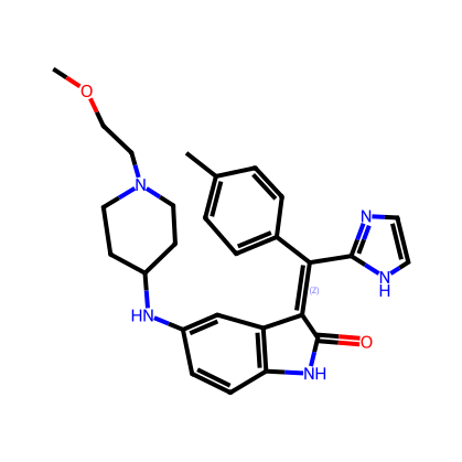 COCCN1CCC(Nc2ccc3c(c2)/C(=C(\c2ccc(C)cc2)c2ncc[nH]2)C(=O)N3)CC1